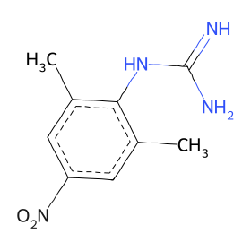 Cc1cc([N+](=O)[O-])cc(C)c1NC(=N)N